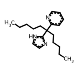 CCCCCC(CCCCC)(c1ccccn1)c1ncc[nH]1